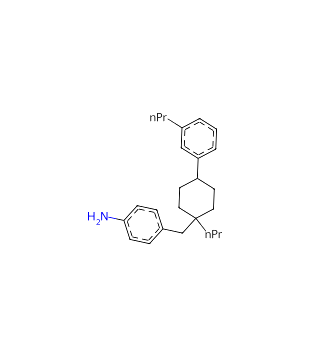 CCCc1cccc(C2CCC(CCC)(Cc3ccc(N)cc3)CC2)c1